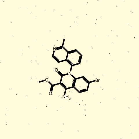 COC(=O)c1c(N)c2ccc(Br)cc2n(-c2cccc3c(C)nccc23)c1=O